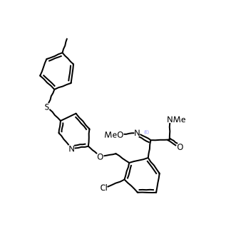 CNC(=O)/C(=N/OC)c1cccc(Cl)c1COc1ccc(Sc2ccc(C)cc2)cn1